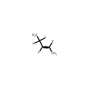 C/C(F)=C(\F)C(C)(F)F